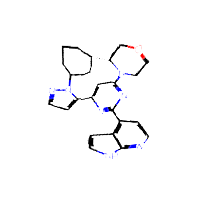 C[C@@H]1COCCN1c1cc(-c2ccnn2C2CCCCC2)nc(-c2ccnc3[nH]ccc23)n1